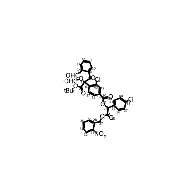 CC(C)(C)OC(=O)C(O[C]=O)(C(=O)c1ccccc1[C]=O)c1ccc(C(=O)OC(C(=O)OCc2ccccc2[N+](=O)[O-])c2ccc(Cl)cc2)cc1Cl